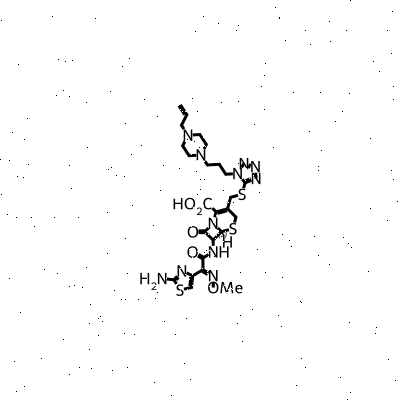 C=CCN1CCN(CCCn2nnnc2SCC2=C(C(=O)O)N3C(=O)C(NC(=O)C(=NOC)c4csc(N)n4)[C@@H]3SC2)CC1